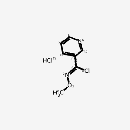 CON=C(Cl)c1cccnc1.Cl